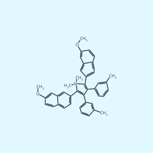 COc1ccc2ccc(C3=C(c4cccc(C)c4)C(c4cccc(C)c4)=C(c4ccc5ccc(OC)cc5c4)[Si]3(C)C)cc2c1